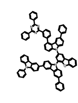 c1ccc(-c2ccc3c(c2)c2cc(-c4ccc5c(c4)c4ccccc4n5-c4ccccc4)ccc2n3-c2cc(-n3c4ccc(-c5ccccc5)cc4c4c(-c5cccc(-c6nc(-c7ccccc7)nc(-c7ccccc7)n6)c5)cccc43)cc3c2oc2ccccc23)cc1